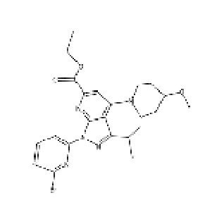 CCOC(=O)c1cc(N2CCC(OC)CC2)c2c(C(C)C)nn(-c3cccc(Br)n3)c2n1